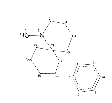 ON1CCCC(c2ccccc2)C12CCCCC2